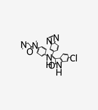 CN(C)CC(=O)N(C)c1ccc(N/C(=C2\C(=O)Nc3cc(Cl)ccc32)c2ccc3nccnc3c2)cc1